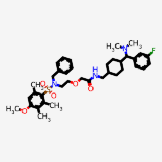 COc1cc(C)c(S(=O)(=O)N(CCOCC(=O)NCC2CCC(C(c3cccc(F)c3)N(C)C)CC2)Cc2ccccc2)c(C)c1C